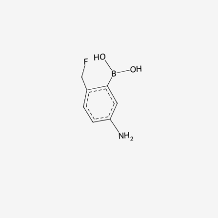 Nc1ccc(CF)c(B(O)O)c1